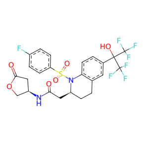 O=C(C[C@@H]1CCc2cc(C(O)(C(F)(F)F)C(F)(F)F)ccc2N1S(=O)(=O)c1ccc(F)cc1)N[C@H]1COC(=O)C1